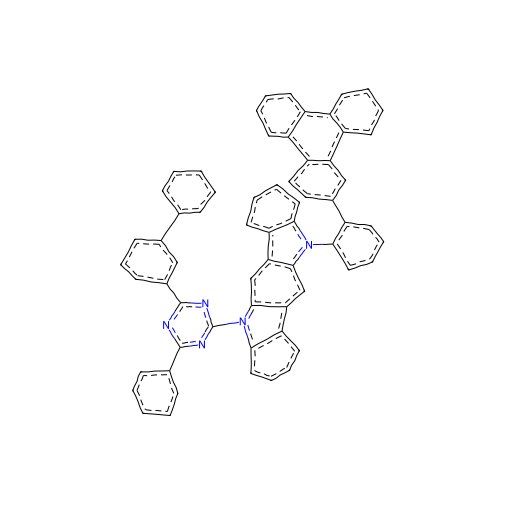 c1ccc(-c2cccc(-c3nc(-c4ccccc4)nc(-n4c5ccccc5c5cc6c(cc54)c4ccccc4n6-c4ccccc4-c4ccc5c6ccccc6c6ccccc6c5c4)n3)c2)cc1